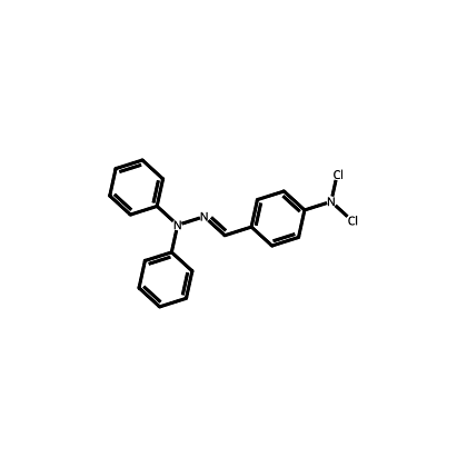 ClN(Cl)c1ccc(/C=N/N(c2ccccc2)c2ccccc2)cc1